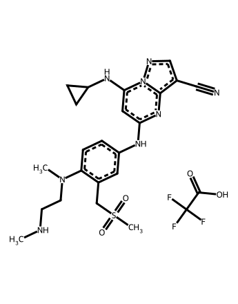 CNCCN(C)c1ccc(Nc2cc(NC3CC3)n3ncc(C#N)c3n2)cc1CS(C)(=O)=O.O=C(O)C(F)(F)F